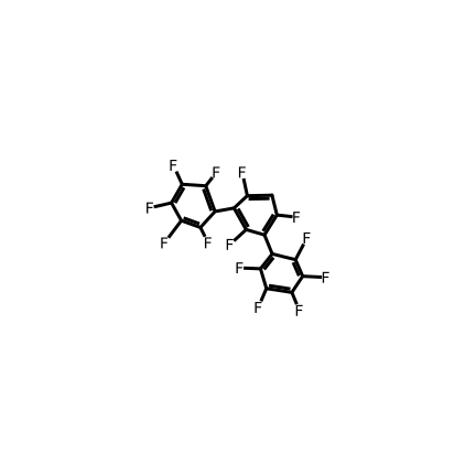 Fc1cc(F)c(-c2c(F)c(F)c(F)c(F)c2F)c(F)c1-c1c(F)c(F)c(F)c(F)c1F